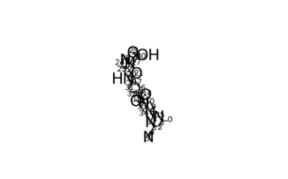 Cc1cc(C#N)nc(N2CCN(S(=O)(=O)c3ccc(NC(=O)c4ccnn4CC(=O)O)cc3)CC2)n1